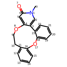 Cn1cc2c(cc1=O)OCCc1ccccc1Oc1ccccc1-2